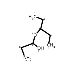 CCC(CC)OC(O)CN